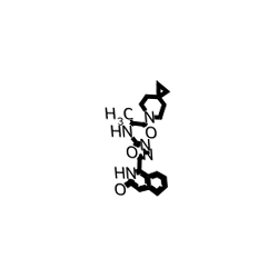 C[C@H](Nc1nnc(-c2[nH]c(=O)cc3ccccc23)o1)C(=O)N1CCC2(CC1)CC2